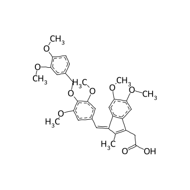 COc1ccc(COc2c(OC)cc(/C=C3/C(C)=C(CC(=O)O)c4cc(OC)c(OC)cc43)cc2OC)cc1OC